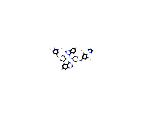 CCOc1cc(CN2CCC(N(c3ncnc4cc(Cl)ccc34)N(c3ncnc4cc(Cl)ccc34)C3CCN(Cc4cc(OCC)c(-n5cccc5)c(OCC)c4)CC3)CC2)cc(OCC)c1N